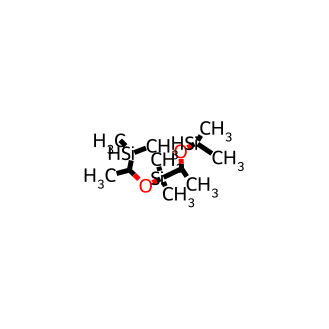 CC(O[Si](C)(C)C(C)O[SiH](C)C)[SiH](C)C